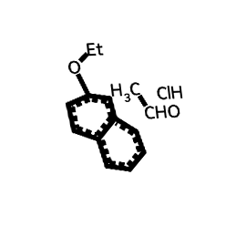 CC=O.CCOc1ccc2ccccc2c1.Cl